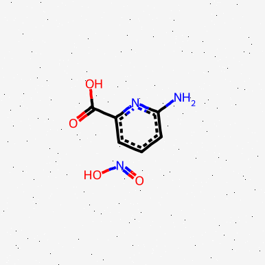 Nc1cccc(C(=O)O)n1.O=NO